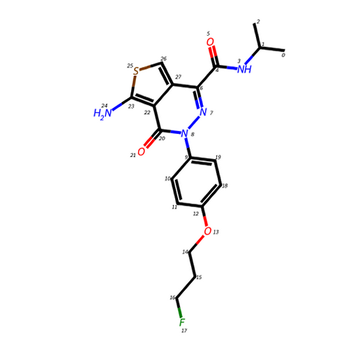 CC(C)NC(=O)c1nn(-c2ccc(OCCCF)cc2)c(=O)c2c(N)scc12